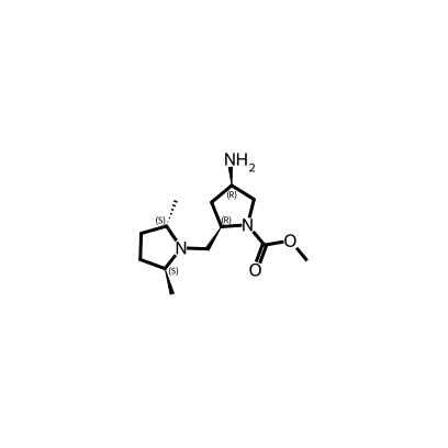 COC(=O)N1C[C@H](N)C[C@@H]1CN1[C@@H](C)CC[C@@H]1C